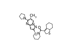 Cc1cn2nc([C@@H]3CCCCN3C(=O)C3=C4CCCCC4SC3)cc2nc1N1CCCC1